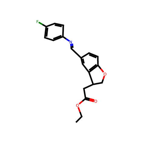 CCOC(=O)CC1COc2ccc(/C=N/c3ccc(F)cc3)cc21